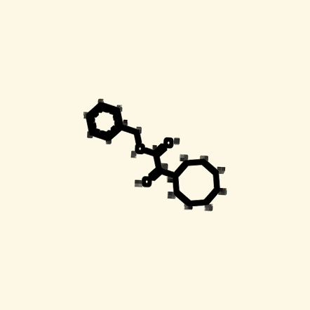 O=C(OCc1ccccc1)C(=O)C1CCCCCCC1